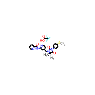 CC1(C)C(=O)N(c2ccc(SC(F)(F)F)cc2)C(=O)N1Cc1ccnc(NC(=O)c2ccccn2)c1.O=C(O)C(F)(F)F